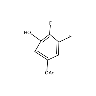 CC(=O)Oc1cc(O)c(F)c(F)c1